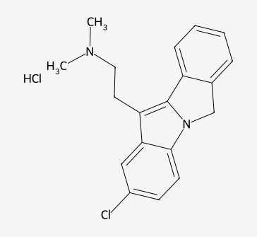 CN(C)CCc1c2n(c3ccc(Cl)cc13)Cc1ccccc1-2.Cl